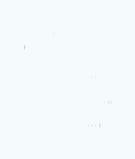 CC(CC(=O)c1ccc(F)c(F)c1)C(=O)O